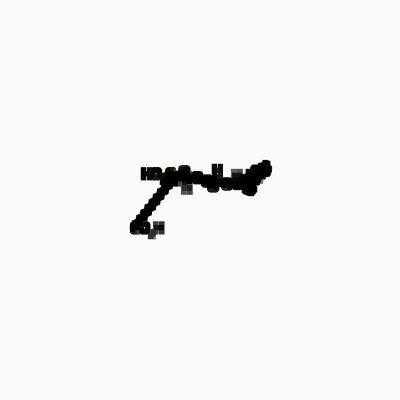 Cc1ccc(C[C@H](CC(=O)[C@@H]2CCCN2C(=O)COCCOCCNC(=O)COCCOCCNC(=O)CCC(NC(=O)CCCCCCCCCCCCCCCCC(=O)O)C(=O)O)C(N)=O)cc1